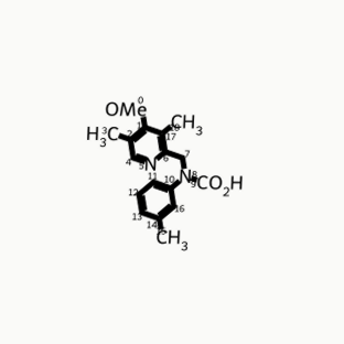 COc1c(C)cnc(CN(C(=O)O)c2cccc(C)c2)c1C